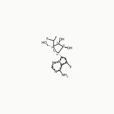 Nc1ncnn2c([C@@H]3O[C@@](CO)(C(F)F)[C@@H](O)[C@H]3O)cc(F)c12